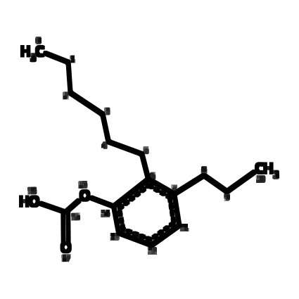 CCCCCCc1c(CCC)cccc1OC(=O)O